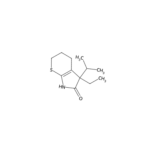 CCC1(C(C)C)C(=O)NC2=C1CCCS2